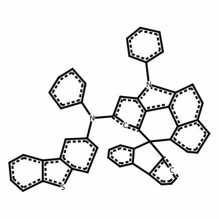 c1ccc(N(c2ccc3sc4ccccc4c3c2)c2cc3c4c5c6c(cccc6ccc5n(-c5ccccc5)c4c2)C32c3ccccc3-c3ccccc32)cc1